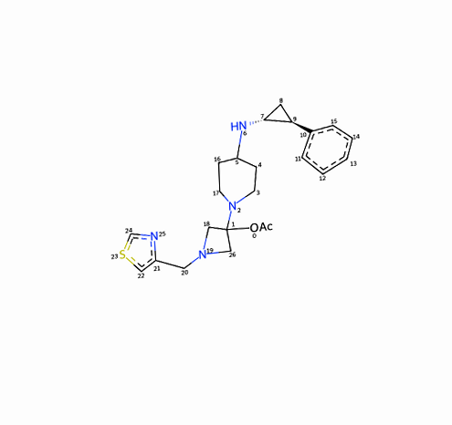 CC(=O)OC1(N2CCC(N[C@@H]3C[C@H]3c3ccccc3)CC2)CN(Cc2cscn2)C1